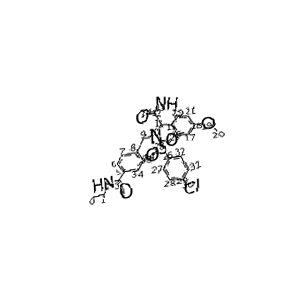 CCNC(=O)c1ccc(CN(C(C(N)=O)c2ccc(OC)cc2)S(=O)(=O)c2ccc(Cl)cc2)cc1